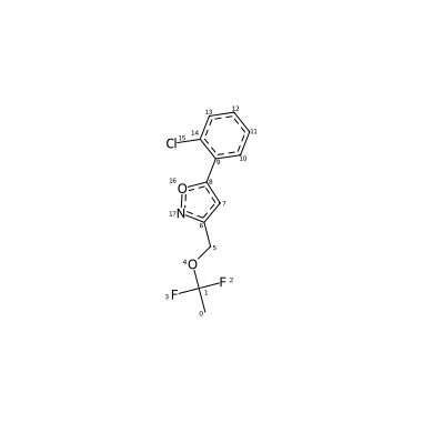 CC(F)(F)OCc1cc(-c2ccccc2Cl)on1